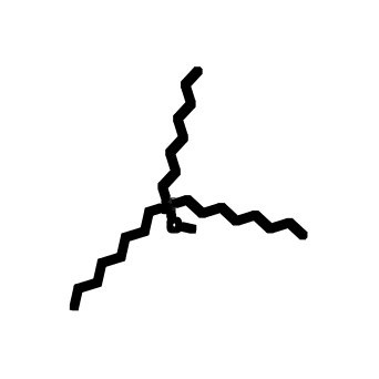 CCCCCCCC[Si](CCCCCCCC)(CCCCCCCC)OC